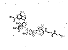 CCC(C)C(=O)c1nc(N)c2ncn([C@@H]3O[C@H](COP(=O)(O)OP(=O)(O)OCC(C)(C)[C@@H](O)C(=O)NCCC(=O)NCCS)[C@@H](OP(=O)(O)O)[C@H]3O)c2n1